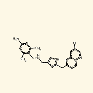 Cc1cc(N)nc(C)c1CNCc1c[nH]c(Cc2ccc3ncc(Cl)cc3c2)n1